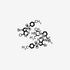 Cc1ccc(S(=O)(=O)n2cc(Br)c3c(Cl)ncnc32)cc1.Cc1ccc(S(=O)(=O)n2cc(Br)c3c(NC(C)c4cccc(N5C[C@@H](C)N[C@@H](C)C5)n4)ncnc32)cc1